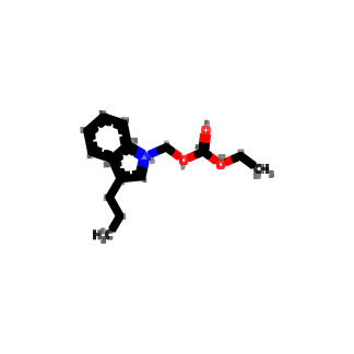 CCCc1cn(COC(=O)OCC)c2ccccc12